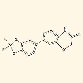 O=C1COc2cc(-c3ccc4c(c3)OC(F)(F)O4)ccc2N1